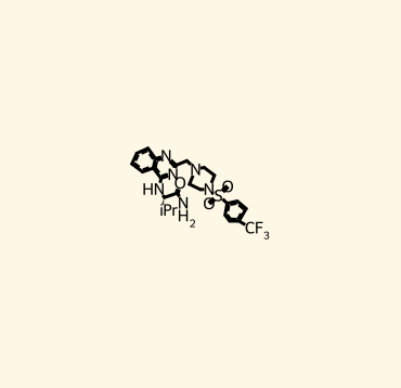 CC(C)[C@H](Nc1nc(CN2CCN(S(=O)(=O)c3ccc(C(F)(F)F)cc3)CC2)nc2ccccc12)C(N)=O